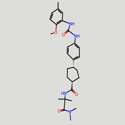 COc1ccc(C)cc1NC(=O)Nc1ccc([C@H]2CC[C@H](C(=O)NC(C)(C)C(=O)N(C)C)CC2)cc1